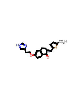 O=C(O)c1ccc(/C=C2\CCc3cc(OCCc4c[nH]cn4)ccc3C2=O)s1